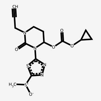 C#CCN1CCC(OC(=O)OC2CC2)N(c2nnc([S+](C)[O-])s2)C1=O